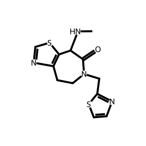 CNC1C(=O)N(Cc2nccs2)CCc2ncsc21